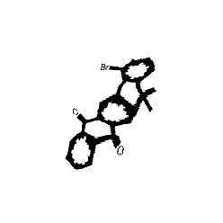 CC1(C)c2cc3c(cc2-c2c(Br)cccc21)C(=O)c1ccccc1C3=O